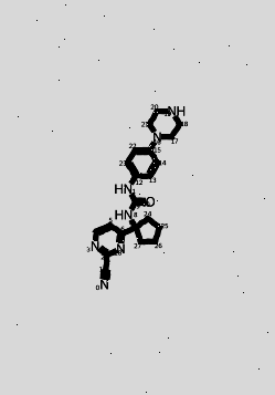 N#Cc1nccc(C2(NC(=O)Nc3ccc(N4CCNCC4)cc3)CCCC2)n1